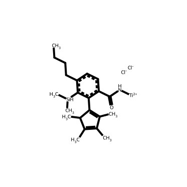 CCCCc1ccc(C(=O)[NH][Ti+2])c(C2=C(C)C(C)=C(C)C2C)c1[SiH](C)C.[Cl-].[Cl-]